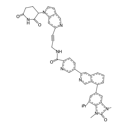 CC(C)c1cc(-c2cccc3cc(-c4ccc(C(=O)NCC#Cc5cc6c(ccn6C6CCC(=O)NC6=O)cn5)nc4)ncc23)cc2c1n(C)c(=O)n2C